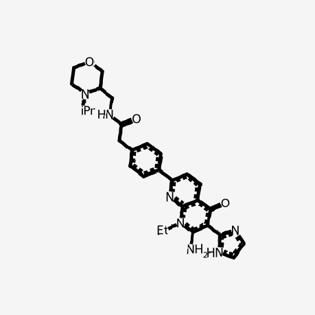 CCn1c(N)c(-c2ncc[nH]2)c(=O)c2ccc(-c3ccc(CC(=O)NCC4COCCN4C(C)C)cc3)nc21